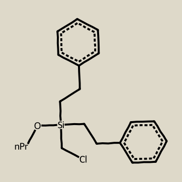 CCCO[Si](CCl)(CCc1ccccc1)CCc1ccccc1